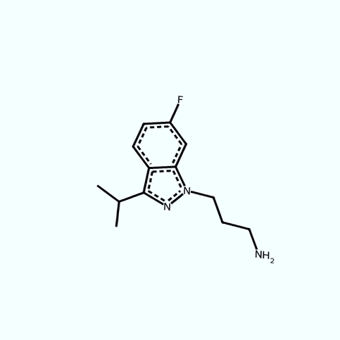 CC(C)c1nn(CCCN)c2cc(F)ccc12